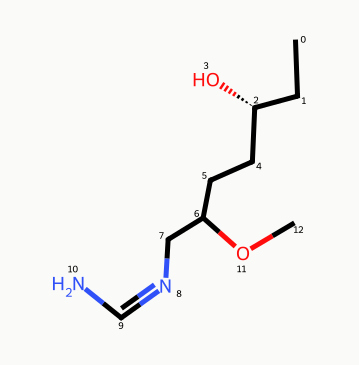 CC[C@@H](O)CCC(C/N=C\N)OC